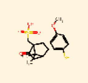 CC1(C)C2CCC1(CS(=O)(=O)O)C(=O)C2.COc1ccc(S)cc1